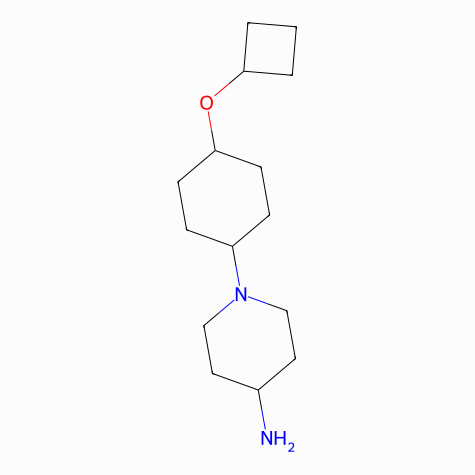 NC1CCN(C2CCC(OC3CCC3)CC2)CC1